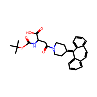 CC(C)(C)OC(=O)NC(CC(=O)N1CCC(=C2c3ccccc3C=Cc3ccccc32)CC1)C(=O)O